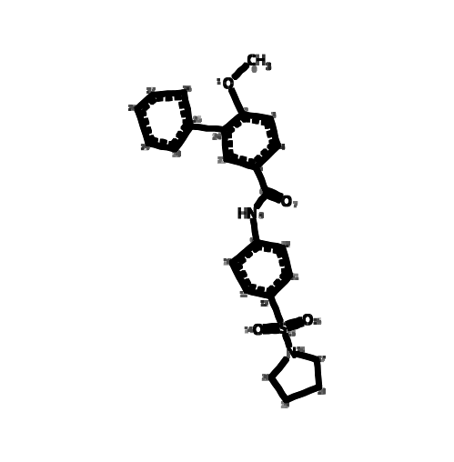 COc1ccc(C(=O)Nc2ccc(S(=O)(=O)N3CCCC3)cc2)cc1-c1ccccc1